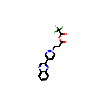 O=C(CC[n+]1ccc(-c2cnc3ccccc3n2)cn1)OC(=O)C(F)(F)F